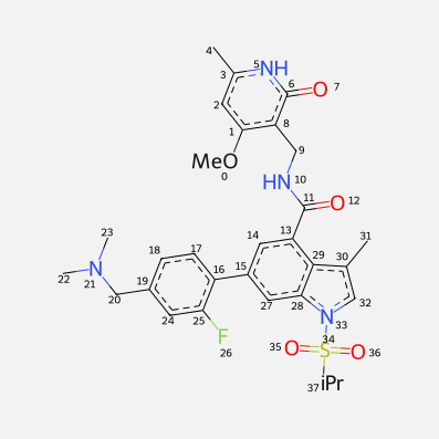 COc1cc(C)[nH]c(=O)c1CNC(=O)c1cc(-c2ccc(CN(C)C)cc2F)cc2c1c(C)cn2S(=O)(=O)C(C)C